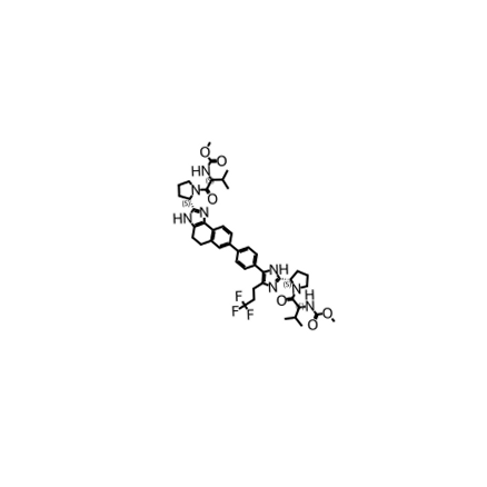 COC(=O)N[C@H](C(=O)N1CCC[C@H]1c1nc2c([nH]1)CCc1cc(-c3ccc(-c4[nH]c([C@@H]5CCCN5C(=O)[C@@H](NC(=O)OC)C(C)C)nc4CCC(F)(F)F)cc3)ccc1-2)C(C)C